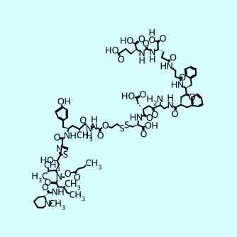 CCCC(=O)OCN(C(=O)[C@@H](NC(=O)[C@H]1CCCCN1C)C(C)CC)[C@H](C[C@@H](O)c1nc(C(=O)N[C@@H](Cc2ccc(O)cc2)C[C@H](C)C(=O)NNC(=O)OCCSSC[C@@H](NC(=O)[C@H](CC(=O)O)CC(=O)[C@@H](N)CNC(=O)[C@@H](CC(=O)[C@H](Cc2ccccc2)NC(=O)CCNC(=O)CC[C@H](NC(=O)N[C@@H](CCC(=O)O)C(=O)O)C(=O)O)Cc2ccccc2)C(=O)O)cs1)C(C)C